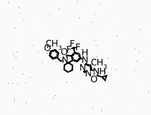 COc1ccc(CN2C(=O)c3c(C(F)(F)F)cc(Nc4ncnc(NC(=O)C5CC5)c4C)cc3C23CCCCC3)cc1